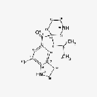 CC(C)CC1(C(=O)c2cc(F)c3c(c2)CCN3)CCCNC1